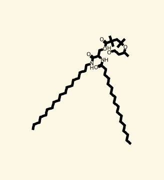 CCCCCCCCCCCCCCCCCCNC(=O)C(COC(=O)C(C)(C)CC(C)(C)OC(C)CCO)NC(=O)CCCCCCCCCCCCCCCCC